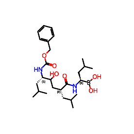 CC(C)C[C@H](CC(O)[C@H](CC(C)C)NC(=O)OCc1ccccc1)C(=O)N[C@@H](CC(C)C)B(O)O